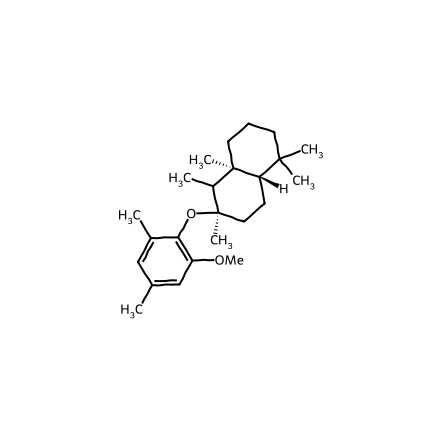 COc1cc(C)cc(C)c1O[C@]1(C)CC[C@H]2C(C)(C)CCC[C@]2(C)C1C